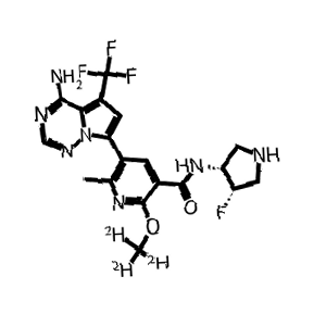 [2H]C([2H])([2H])Oc1nc(C)c(-c2cc(C(F)(F)F)c3c(N)ncnn23)cc1C(=O)N[C@@H]1CNC[C@@H]1F